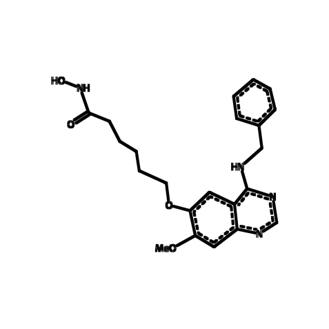 COc1cc2ncnc(NCc3ccccc3)c2cc1OCCCCCC(=O)NO